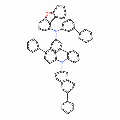 c1ccc(-c2ccc(N(c3ccc4cc(-c5ccccc5)ccc4c3)c3ccccc3-c3cccc(N(c4cccc(-c5ccccc5)c4)c4cccc5oc6ccccc6c45)c3)cc2)cc1